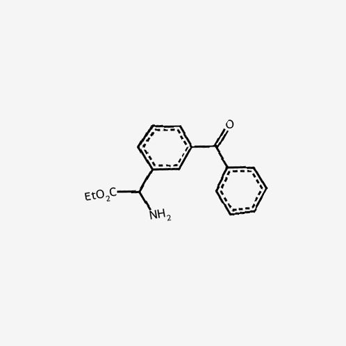 CCOC(=O)C(N)c1cccc(C(=O)c2ccccc2)c1